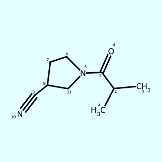 CC(C)C(=O)N1CCC(C#N)C1